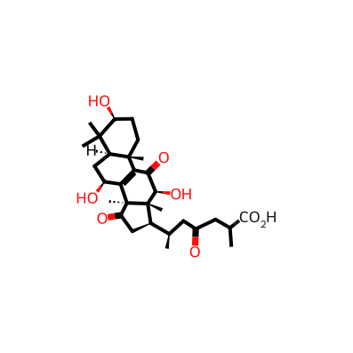 CC(CC(=O)C[C@@H](C)[C@H]1CC(=O)[C@@]2(C)C3=C(C(=O)[C@@H](O)[C@]12C)[C@@]1(C)CC[C@H](O)C(C)(C)[C@@H]1C[C@@H]3O)C(=O)O